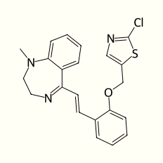 CN1CCN=C(C=Cc2ccccc2OCc2cnc(Cl)s2)c2ccccc21